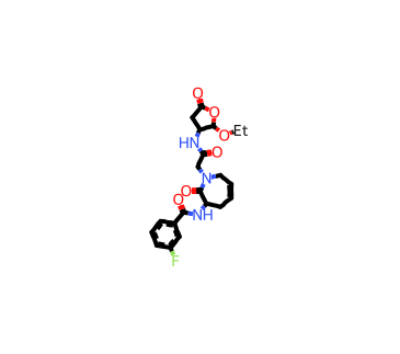 CCOC1OC(=O)CC1NC(=O)CN1CC=CCC(NC(=O)c2cccc(F)c2)C1=O